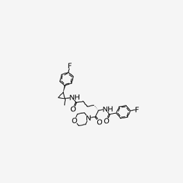 CC1(NC(=O)CCC[C@H](NC(=O)c2ccc(F)cc2)C(=O)N2CCOCC2)C[C@H]1c1ccc(F)cc1